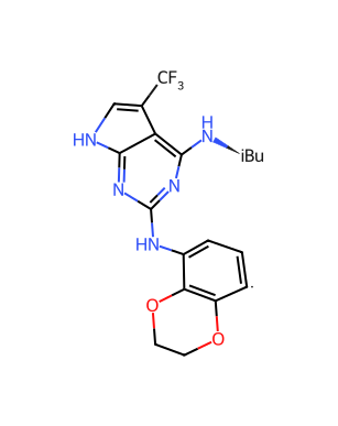 CC[C@H](C)Nc1nc(Nc2cc[c]c3c2OCCO3)nc2[nH]cc(C(F)(F)F)c12